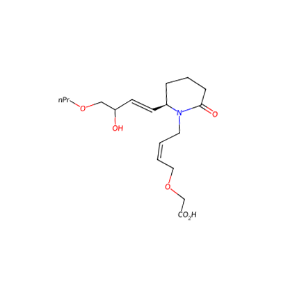 CCCOCC(O)/C=C/[C@H]1CCCC(=O)N1C/C=C\COCC(=O)O